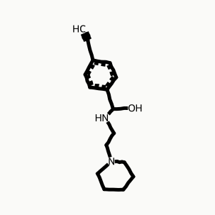 C#Cc1ccc(C(O)NCCN2CCCCC2)cc1